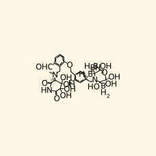 BC1(O)OC(O)(O)C(B)(O)N(Cc2ccc(COc3cccc(C=O)c3CN(C)[C@@H]3C(=O)NC(=O)C(O)(O)C3(O)O)c(F)c2)C1(B)B